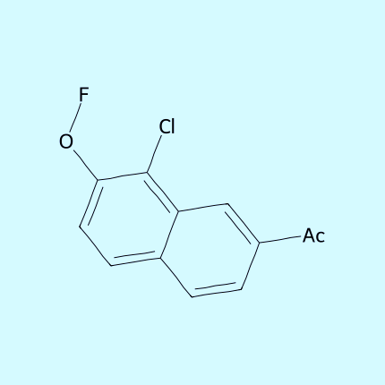 CC(=O)c1ccc2ccc(OF)c(Cl)c2c1